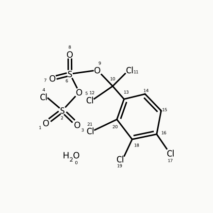 O.O=S(=O)(Cl)OS(=O)(=O)OC(Cl)(Cl)c1ccc(Cl)c(Cl)c1Cl